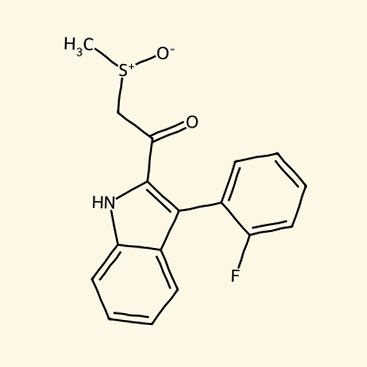 C[S+]([O-])CC(=O)c1[nH]c2ccccc2c1-c1ccccc1F